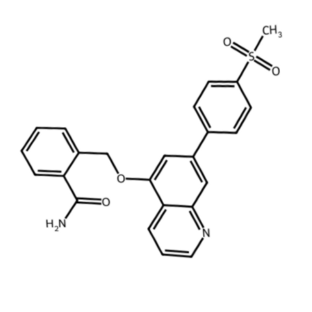 CS(=O)(=O)c1ccc(-c2cc(OCc3ccccc3C(N)=O)c3cccnc3c2)cc1